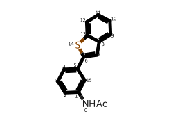 CC(=O)Nc1cccc(-c2cc3ccccc3s2)c1